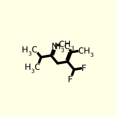 C/N=C(\CC(=C(C)C)C(F)F)C(C)C